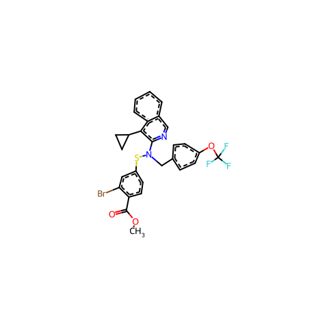 COC(=O)c1ccc(SN(Cc2ccc(OC(F)(F)F)cc2)c2ncc3ccccc3c2C2CC2)cc1Br